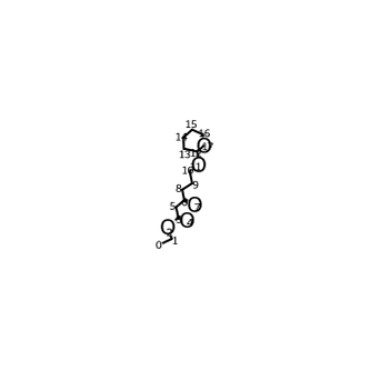 CCOC(=O)CC(=O)CCCOC1CCCCO1